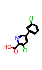 O=C(O)c1ncc(-c2cccc(Cl)c2)cc1Cl